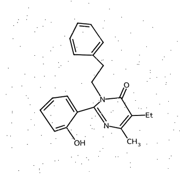 CCc1c(C)nc(-c2ccccc2O)n(CCc2ccccc2)c1=O